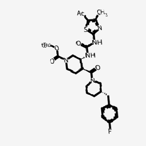 CC(=O)c1sc(NC(=O)N[C@H]2CN(C(=O)OC(C)(C)C)CC[C@@H]2C(=O)N2CCC[C@@H](Cc3ccc(F)cc3)C2)nc1C